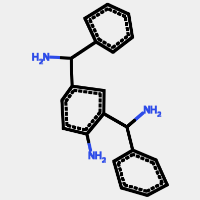 Nc1ccc(C(N)c2ccccc2)cc1C(N)c1ccccc1